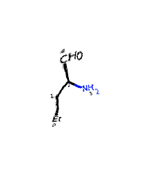 [CH2]CCC(N)C=O